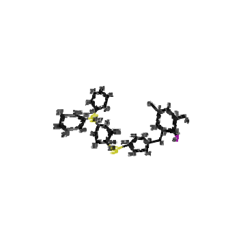 Cc1cc(C)c(I)c(Cc2ccc(Sc3ccc([S+](c4ccccc4)c4ccccc4)cc3)cc2)c1